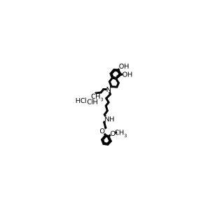 CCCCN(CCCCCCNCCOc1ccccc1OC)C1CCc2c(ccc(O)c2O)C1.Cl.Cl